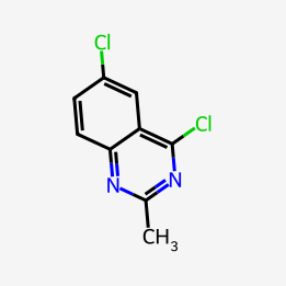 Cc1nc(Cl)c2cc(Cl)ccc2n1